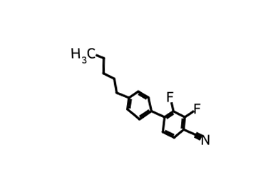 CCCCCc1ccc(-c2ccc(C#N)c(F)c2F)cc1